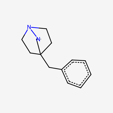 c1ccc(CC23CCN(CC2)[N]C3)cc1